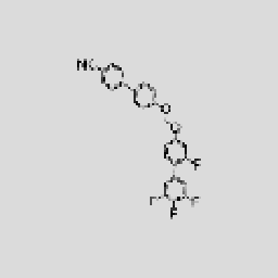 N#Cc1ccc(-c2ccc(OCOc3ccc(-c4cc(F)c(F)c(F)c4)c(F)c3)cc2)cc1